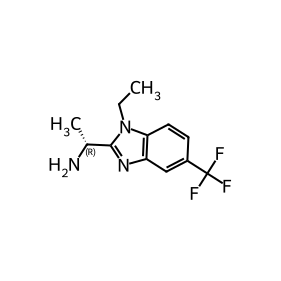 CCn1c([C@@H](C)N)nc2cc(C(F)(F)F)ccc21